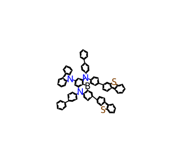 c1ccc(-c2ccc(N3c4ccc(-c5ccc6c(c5)sc5ccccc56)cc4B4c5cc(-c6ccc7c(c6)sc6ccccc67)ccc5N(c5ccc(-c6ccccc6)cc5)c5cc(-n6c7ccccc7c7ccccc76)cc3c54)cc2)cc1